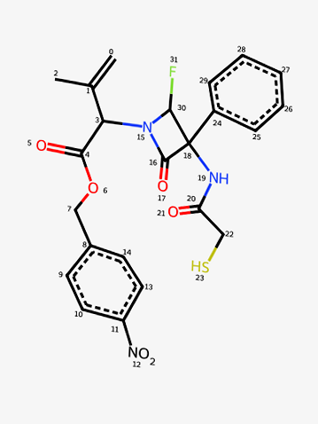 C=C(C)C(C(=O)OCc1ccc([N+](=O)[O-])cc1)N1C(=O)C(NC(=O)CS)(c2ccccc2)C1F